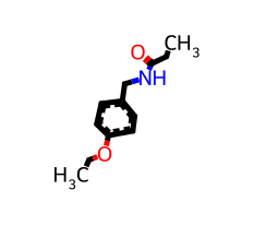 CCOc1ccc(CNC(=O)CC)cc1